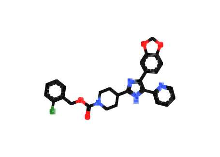 O=C(OCc1ccccc1Cl)N1CCC(c2nc(-c3ccc4c(c3)OCO4)c(-c3ccccn3)[nH]2)CC1